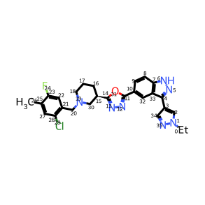 CCn1cc(-c2n[nH]c3ccc(-c4nnc([C@@H]5CCCN(Cc6cc(F)c(C)cc6Cl)C5)o4)cc23)cn1